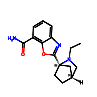 CCN1C[C@H]2CC[C@]1(c1nc3cccc(C(N)=O)c3o1)C2